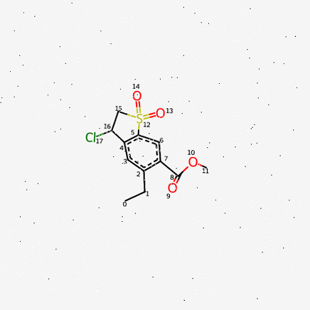 CCc1cc2c(cc1C(=O)OC)S(=O)(=O)CC2Cl